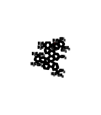 Cc1cc2c3c(c1)N(c1ccc4c(c1)C(C)(C)CCC4(C)C)c1c(ccc4c1C(C)(C)CCC4(C)C)B3c1c(sc3cc4c(cc13)C(C)(C)CCC4(C)C)N2c1ccc(C(C)(C)C)cc1-c1ccccc1